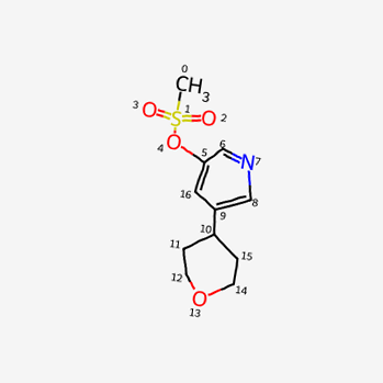 CS(=O)(=O)Oc1cncc(C2CCOCC2)c1